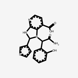 NC(=O)C(c1ccccc1O)N1c2c(C(=O)O)ccnc2NC1c1ccsc1